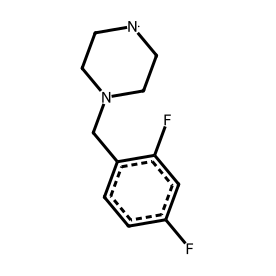 Fc1ccc(CN2CC[N]CC2)c(F)c1